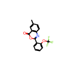 Cc1ccc2nc(-c3ccccc3OC(F)(F)F)oc(=O)c2c1